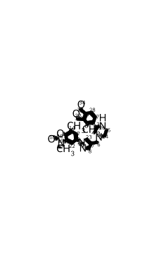 Cc1c([C@H]2CN(Cc3cnn(-c4cc(C)c5oc(=O)n(C)c5c4)c3)CCN2)ccc2c1COC2=O